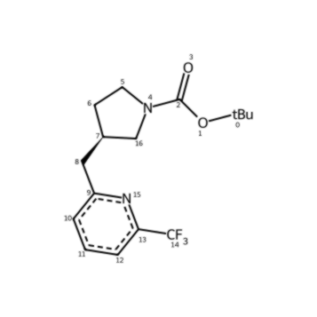 CC(C)(C)OC(=O)N1CC[C@H](Cc2cccc(C(F)(F)F)n2)C1